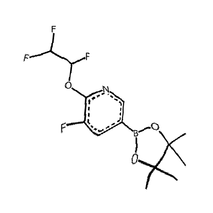 CC1(C)OB(c2cnc(OC(F)C(F)F)c(F)c2)OC1(C)C